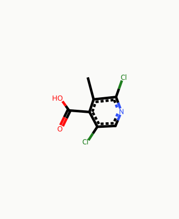 Cc1c(Cl)ncc(Cl)c1C(=O)O